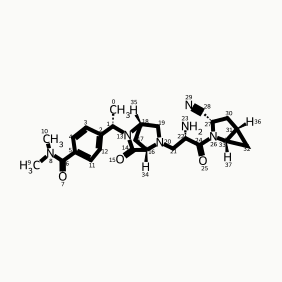 C[C@@H](c1ccc(C(=O)N(C)C)cc1)N1C(=O)[C@@H]2C[C@H]1CN2C[C@H](N)C(=O)N1[C@H](C#N)C[C@@H]2C[C@@H]21